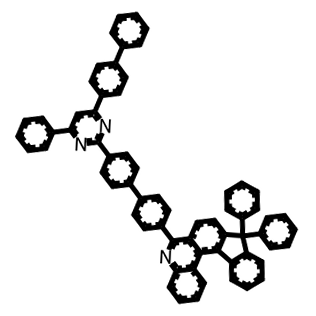 c1ccc(-c2ccc(-c3cc(-c4ccccc4)nc(-c4ccc(-c5ccc(-c6nc7ccccc7c7c8c(ccc67)C(c6ccccc6)(c6ccccc6)c6ccccc6-8)cc5)cc4)n3)cc2)cc1